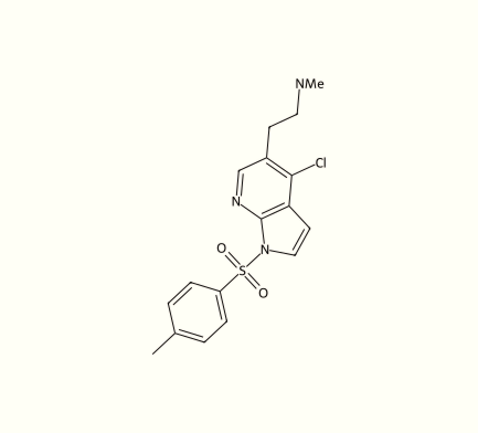 CNCCc1cnc2c(ccn2S(=O)(=O)c2ccc(C)cc2)c1Cl